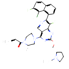 C=CC(=O)N1CCN(c2nc(OC[C@@H]3CCCN3C)nc3c(F)c(-c4cccc5ccc(F)c(Cl)c45)ncc23)C[C@@H]1C